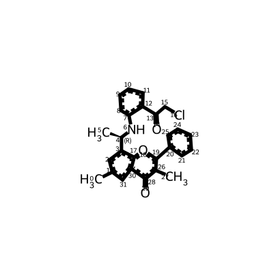 Cc1cc([C@@H](C)Nc2ccccc2C(=O)CCl)c2oc(-c3ccccc3)c(C)c(=O)c2c1